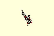 C=CCN1CCN(C2CCN(c3cc(OC)c(Nc4cc(N5OCC[C@@H]5c5cccc(Cl)c5C)ncn4)cc3NC(=O)C=C)CC2)CC1